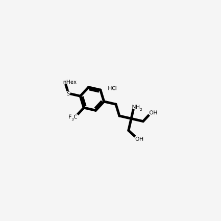 CCCCCCSc1ccc(CCC(N)(CO)CO)cc1C(F)(F)F.Cl